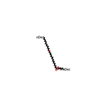 CCCCCCCCCCCCCCCCCCCCCCCCCCCCCCCCCCCCCCC(=O)OCCCCCCCCCCCCCC